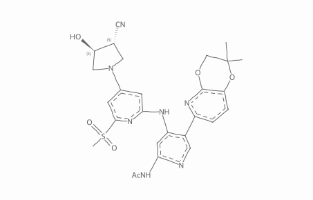 CC(=O)Nc1cc(Nc2cc(N3C[C@@H](O)[C@H](C#N)C3)cc(S(C)(=O)=O)n2)c(-c2ccc3c(n2)OCC(C)(C)O3)cn1